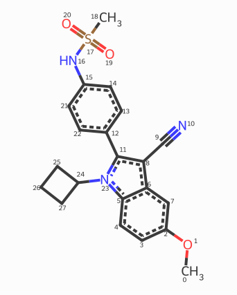 COc1ccc2c(c1)c(C#N)c(-c1ccc(NS(C)(=O)=O)cc1)n2C1CCC1